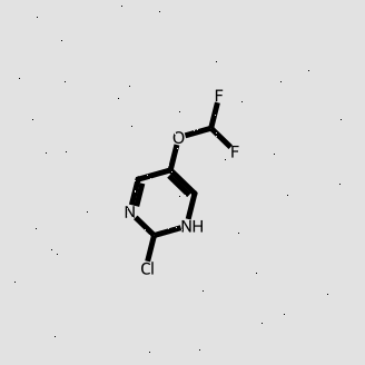 FC(F)OC1=CNC(Cl)N=C1